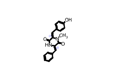 Cn1c(=O)/c(=C/c2ccccc2)[nH]c(=O)/c1=C/c1ccc(O)cc1